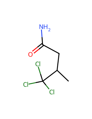 CC(CC(N)=O)C(Cl)(Cl)Cl